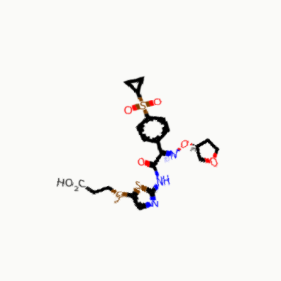 O=C(O)CCSc1cnc(NC(=O)/C(=N/O[C@@H]2CCOC2)c2ccc(S(=O)(=O)C3CC3)cc2)s1